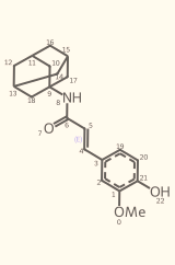 COc1cc(/C=C/C(=O)NC23CC4CC(CC(C4)C2)C3)ccc1O